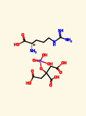 N=C(N)NCCC[C@H](N)C(=O)O.O=C(O)CC(CC(=O)O)(OP(=O)(O)O)C(=O)O